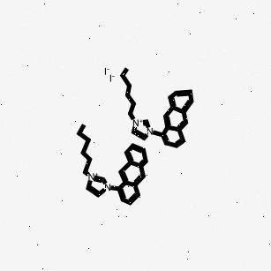 CCCCCC[n+]1ccn(-c2cccc3cc4ccccc4cc23)c1.CCCCCC[n+]1ccn(-c2cccc3cc4ccccc4cc23)c1.[I-].[I-]